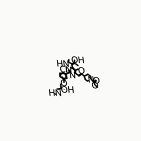 CNC[C@@H](O)COc1ccc(Cl)c(-c2nc(/C=C(\OC)C3CCN(C(=O)OC)CC3)c(C)c(/C(C(C)=N)=C(\C)O)n2)c1